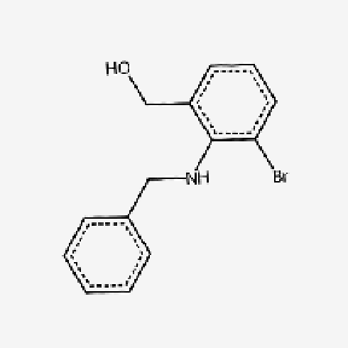 OCc1cccc(Br)c1NCc1ccccc1